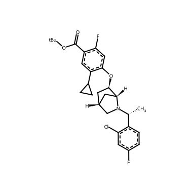 C[C@H](c1ccc(F)cc1Cl)N1C[C@H]2C[C@@H]1[C@H](Oc1cc(F)c(C(=O)OC(C)(C)C)cc1C1CC1)C2